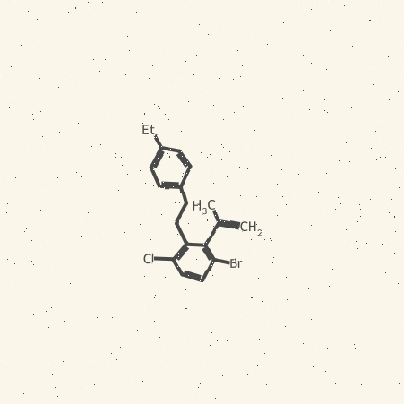 C=C(C)c1c(Br)ccc(Cl)c1CCc1ccc(CC)cc1